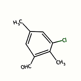 Cc1cc(Cl)c(C)c(C=O)c1